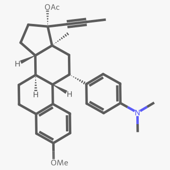 CC#C[C@]1(OC(C)=O)CC[C@H]2[C@@H]3CCc4cc(OC)ccc4[C@H]3[C@@H](c3ccc(N(C)C)cc3)C[C@@]21C